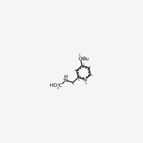 CC(C)COc1ccnc(CNC(=O)O)c1